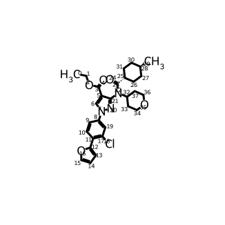 CCOC(=O)c1cn(-c2ccc(-c3ccco3)c(Cl)c2)nc1N(C(=O)[C@H]1CC[C@H](C)CC1)C1CCOCC1